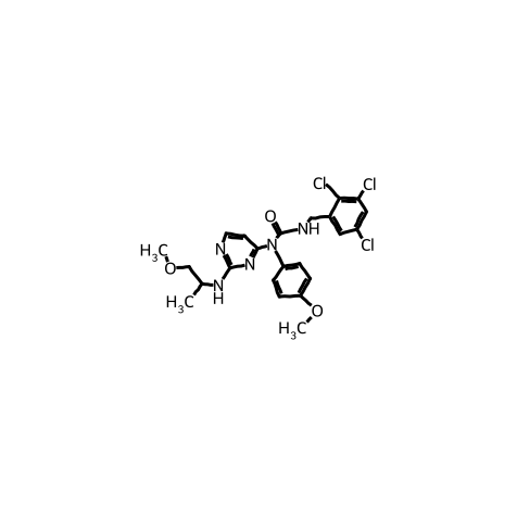 COCC(C)Nc1nccc(N(C(=O)NCc2cc(Cl)cc(Cl)c2Cl)c2ccc(OC)cc2)n1